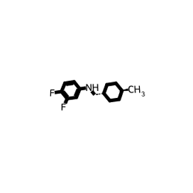 C[C@H]1CC[C@H](CNc2ccc(F)c(F)c2)CC1